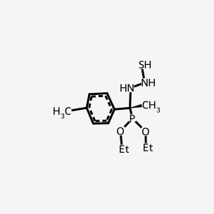 CCOP(OCC)[C@@](C)(NNS)c1ccc(C)cc1